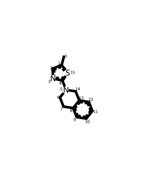 Cc1cnc(N2CCc3ccccc3C2)s1